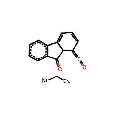 N#CCC#N.O=C=C1C=CC=C2c3ccccc3C(=O)C12